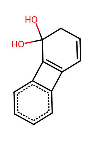 OC1(O)CC=CC2=C1c1ccccc12